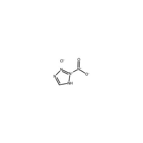 O=[N+]([O-])[n+]1nnc[nH]1.[Cl-]